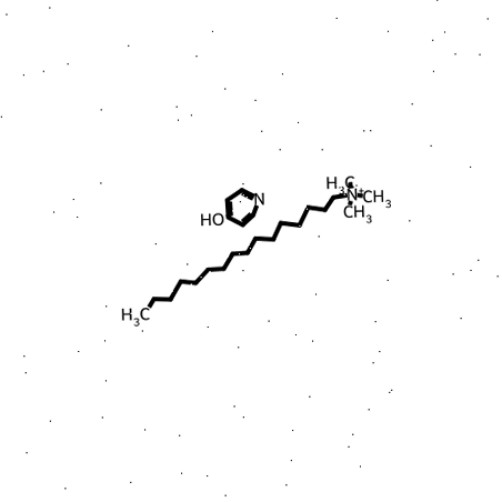 CCCCCCCCCCCCCCCC[N+](C)(C)C.[OH-].c1ccncc1